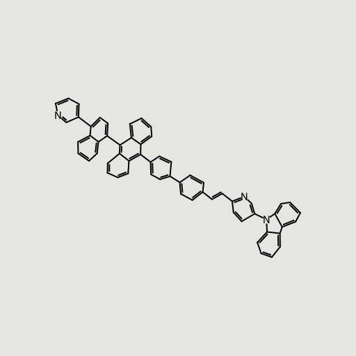 C(=C\c1ccc(-n2c3ccccc3c3ccccc32)cn1)/c1ccc(-c2ccc(-c3c4ccccc4c(-c4ccc(-c5cccnc5)c5ccccc45)c4ccccc34)cc2)cc1